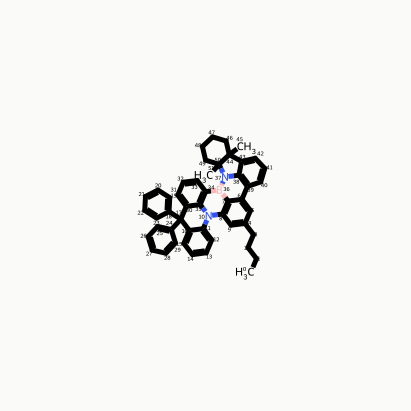 CCCCc1cc2c3c(c1)N1c4ccccc4C(c4ccccc4)(c4ccccc4)c4cccc(c41)B3N1c3c-2cccc3C2(C)CCCCC12C